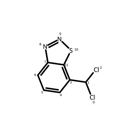 ClC(Cl)c1cccc2nnsc12